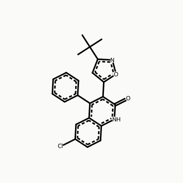 CC(C)(C)c1cc(-c2c(-c3ccccc3)c3cc(Cl)ccc3[nH]c2=O)on1